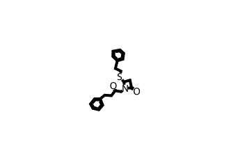 O=C(CCc1ccccc1)CN1C(=O)CC1SCCc1ccccc1